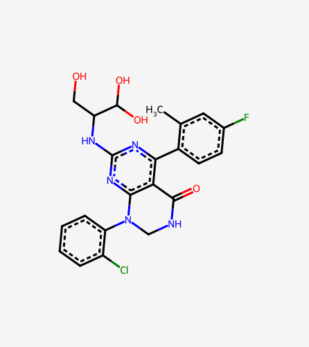 Cc1cc(F)ccc1-c1nc(NC(CO)C(O)O)nc2c1C(=O)NCN2c1ccccc1Cl